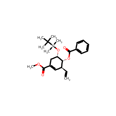 C=C[C@H]1C=C(C(=O)OC)C[C@H](O[Si](C)(C)C(C)(C)C)[C@@H]1OC(=O)c1ccccc1